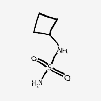 NS(=O)(=O)NC1CCC1